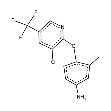 Cc1cc(N)ccc1Oc1ncc(C(F)(F)F)cc1Cl